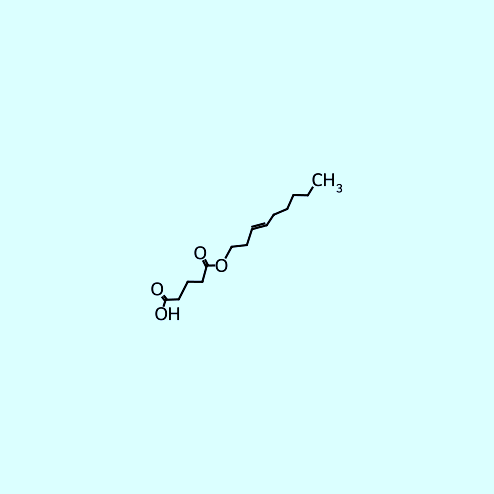 CCCCCC=CCCOC(=O)CCCC(=O)O